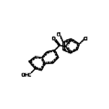 O=Cc1ccc2cc(C(=O)n3c4cc(Cl)c3c(Cl)c4)ccc2c1